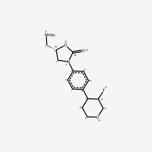 CC(=O)NC[C@H]1CN(c2ccc(C3CCOCC3F)cc2)C(=O)O1